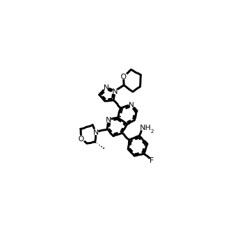 C[C@@H]1COCCN1c1cc(-c2ccc(F)cc2N)c2ccnc(-c3ccnn3C3CCCCO3)c2n1